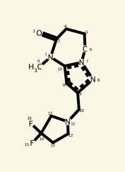 CN1C(=O)CCCn2nc(CN3CCC(F)(F)C3)cc21